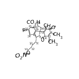 CC1=C(C)C(=O)C(C(CCCCCCO[N+](=O)[O-])(CCC(=O)O)c2ccc(F)cc2)=C(C)C1=O